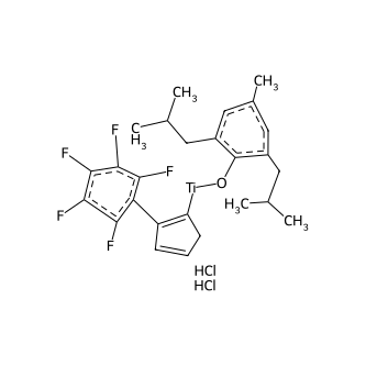 Cc1cc(CC(C)C)c([O][Ti][C]2=C(c3c(F)c(F)c(F)c(F)c3F)C=CC2)c(CC(C)C)c1.Cl.Cl